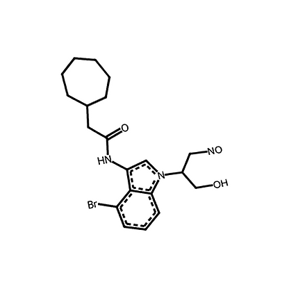 O=NCC(CO)n1cc(NC(=O)CC2CCCCCC2)c2c(Br)cccc21